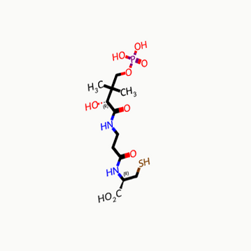 CC(C)(COP(=O)(O)O)[C@@H](O)C(=O)NCCC(=O)N[C@@H](CS)C(=O)O